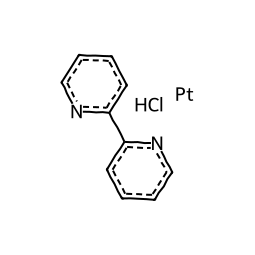 Cl.[Pt].c1ccc(-c2ccccn2)nc1